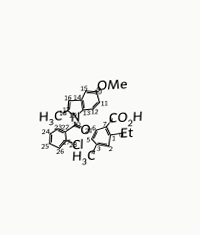 CCc1cc(C)ccc1C(=O)O.COc1ccc2c(c1)cc(C)n2C(=O)c1ccccc1Cl